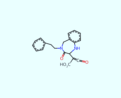 O=C=C(C(=O)O)C1Nc2ccccc2CN(CCc2ccccc2)C1=O